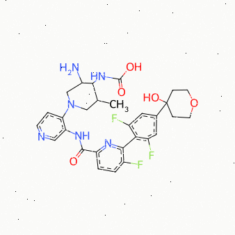 CC1CN(c2ccncc2NC(=O)c2ccc(F)c(-c3c(F)cc(C4(O)CCOCC4)cc3F)n2)CC(N)C1NC(=O)O